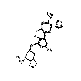 CC1(C)CC(Nc2nc(N)nc(-c3cc(-n4cnnn4)c(C4CC4)cc3F)c2F)CC2CCCN21